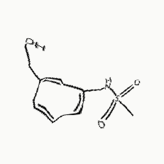 CS(=O)(=O)Nc1cccc(CO)c1